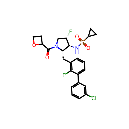 O=C(C1CCO1)N1C[C@H](F)[C@H](NS(=O)(=O)C2CC2)[C@@H]1Cc1cccc(-c2cccc(Cl)c2)c1F